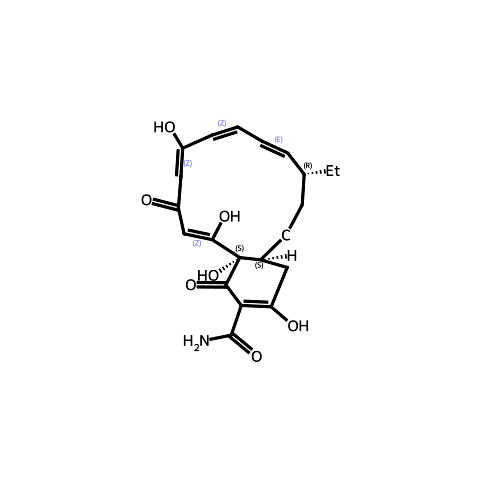 CC[C@H]1/C=C/C=C\C(O)=C\C(=O)/C=C(\O)[C@]2(O)C(=O)C(C(N)=O)=C(O)C[C@@H]2CC1